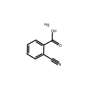 N#Cc1ccccc1C(=O)O.[Hg]